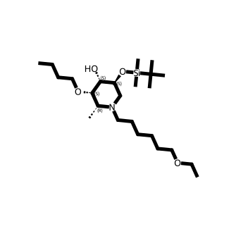 CCCCO[C@@H]1[C@H](O)[C@@H](O[Si](C)(C)C(C)(C)C)CN(CCCCCCOCC)[C@@H]1C